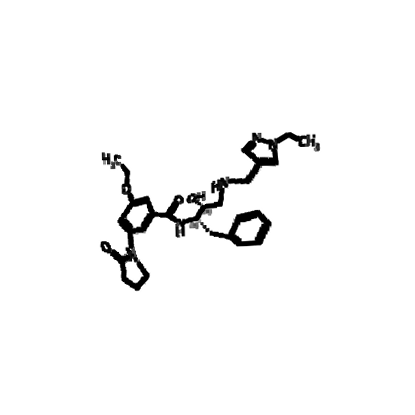 CCOc1cc(C(=O)N[C@@H](Cc2ccccc2)[C@H](O)CNCc2cnn(CC)c2)cc(N2CCCC2=O)c1